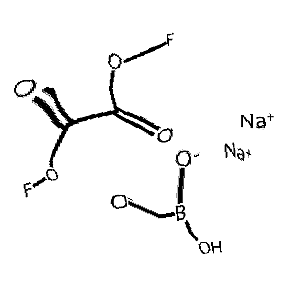 O=C(OF)C(=O)OF.[Na+].[Na+].[O-]B([O-])O